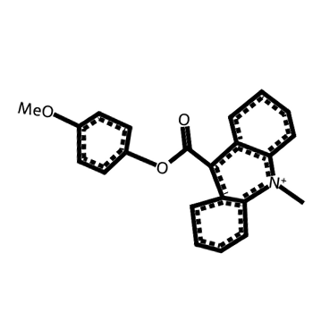 COc1ccc(OC(=O)c2c3ccccc3[n+](C)c3ccccc23)cc1